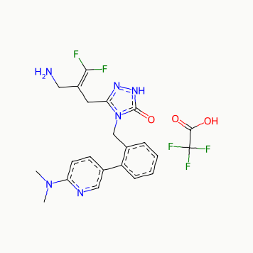 CN(C)c1ccc(-c2ccccc2Cn2c(CC(CN)=C(F)F)n[nH]c2=O)cn1.O=C(O)C(F)(F)F